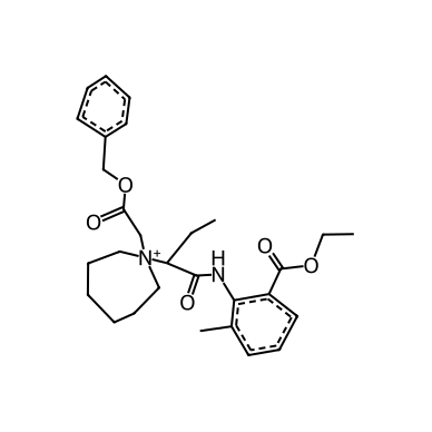 CCOC(=O)c1cccc(C)c1NC(=O)C(CC)[N+]1(CC(=O)OCc2ccccc2)CCCCCC1